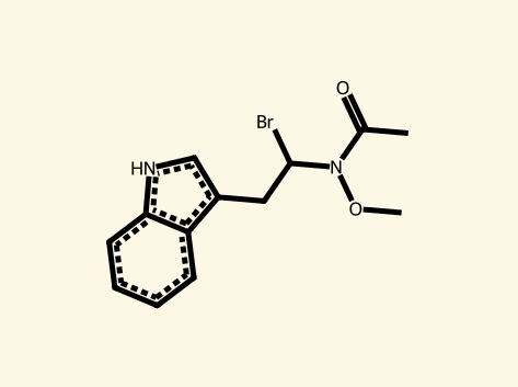 CON(C(C)=O)C(Br)Cc1c[nH]c2ccccc12